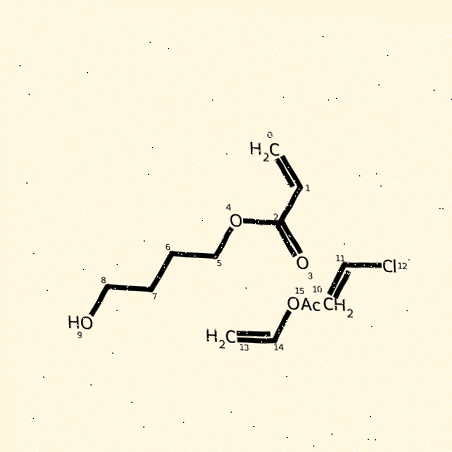 C=CC(=O)OCCCCO.C=CCl.C=COC(C)=O